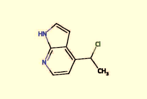 CC(Cl)c1ccnc2[nH]ccc12